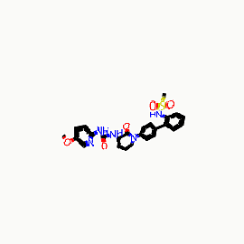 COc1ccc(NC(=O)N[C@@H]2CCCN(c3ccc(-c4ccccc4NS(C)(=O)=O)cc3)C2=O)nc1